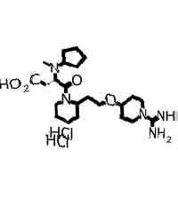 CN(C1CCCC1)[C@@H](CC(=O)O)C(=O)N1CCCCC1CCOC1CCN(C(=N)N)CC1.Cl.Cl